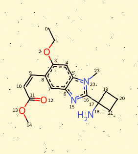 CCOc1cc2c(cc1/C=C\C(=O)OC)nc(C1(N)CCC1)n2C